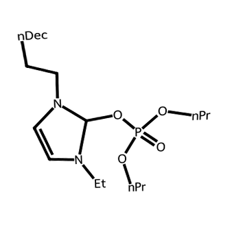 CCCCCCCCCCCCN1C=CN(CC)C1OP(=O)(OCCC)OCCC